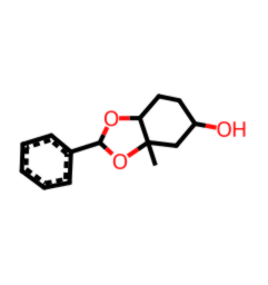 CC12CC(O)CCC1OC(c1ccccc1)O2